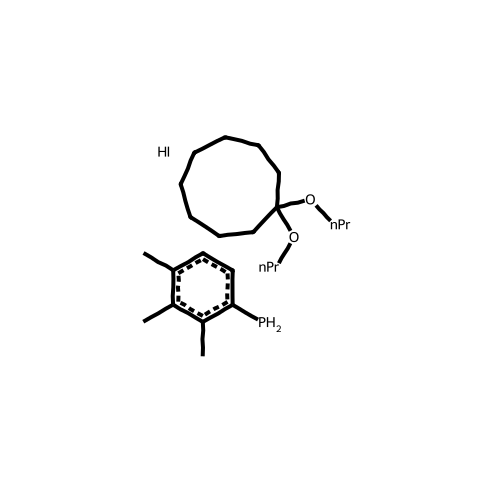 CCCOC1(OCCC)CCCCCCCC1.Cc1ccc(P)c(C)c1C.I